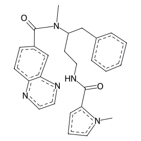 CN(C(=O)c1ccc2nccnc2c1)C(CCNC(=O)c1cccn1C)Cc1ccccc1